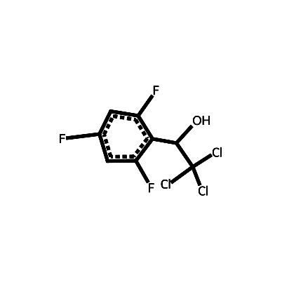 OC(c1c(F)cc(F)cc1F)C(Cl)(Cl)Cl